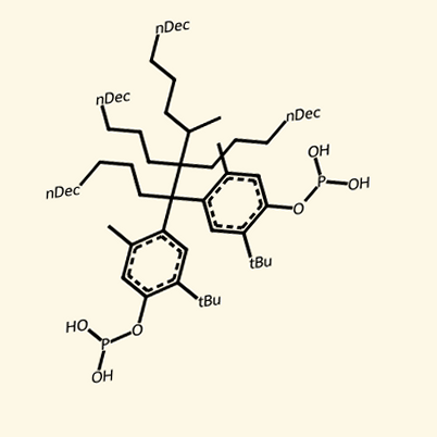 CCCCCCCCCCCCCC(C)C(CCCCCCCCCCCCC)(CCCCCCCCCCCCC)C(CCCCCCCCCCCCC)(c1cc(C(C)(C)C)c(OP(O)O)cc1C)c1cc(C(C)(C)C)c(OP(O)O)cc1C